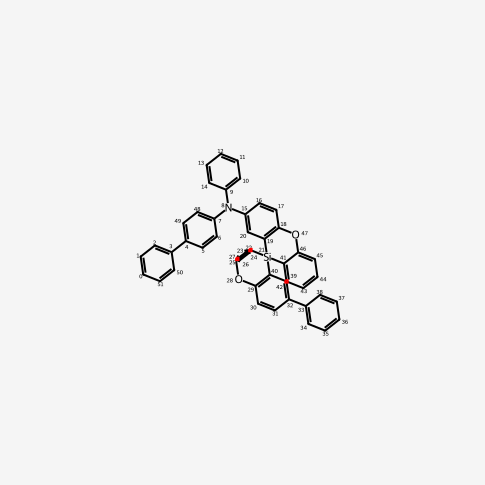 c1ccc(-c2ccc(N(c3ccccc3)c3ccc4c(c3)[Si]3(c5ccccc5Oc5ccc(-c6ccccc6)cc53)c3ccccc3O4)cc2)cc1